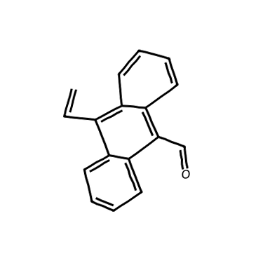 C=Cc1c2ccccc2c(C=O)c2ccccc12